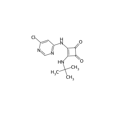 CC(C)(C)Nc1c(Nc2cc(Cl)ncn2)c(=O)c1=O